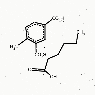 CCCCCC(=O)O.Cc1ccc(C(=O)O)cc1C(=O)O